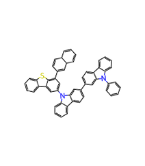 C1=CC2C=CC(c3cc(-n4c5ccccc5c5ccc(-c6ccc7c8ccccc8n(-c8ccccc8)c7c6)cc54)cc4c3sc3ccccc34)=CC2C=C1